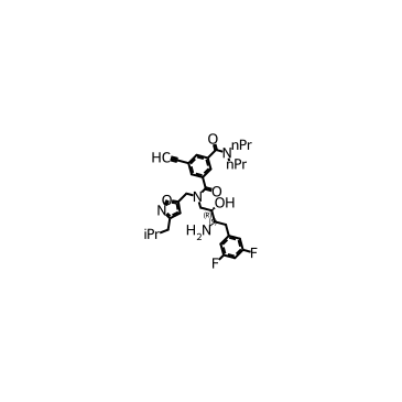 C#Cc1cc(C(=O)N(CCC)CCC)cc(C(=O)N(Cc2cc(CC(C)C)no2)C[C@@H](O)[C@@H](N)Cc2cc(F)cc(F)c2)c1